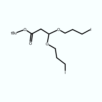 CC(C)(C)OC(=O)CC(OCCCI)OCCCI